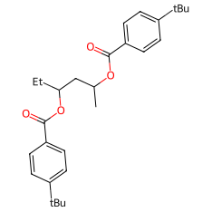 CCC(CC(C)OC(=O)c1ccc(C(C)(C)C)cc1)OC(=O)c1ccc(C(C)(C)C)cc1